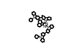 c1ccc(-n2c3ccccc3c3cc(-c4ccc5c6ccccc6n(-c6nc7c(c(-n8c9ccccc9c9ccc(-c%10ccc%11c(c%10)c%10ccccc%10n%11-c%10ccccc%10)cc98)n6)-c6cccc8cccc-7c68)c5c4)ccc32)cc1